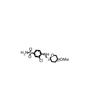 CO[C@H]1CC[C@H](CNc2ccc(S(N)(=O)=O)cc2Cl)OC1